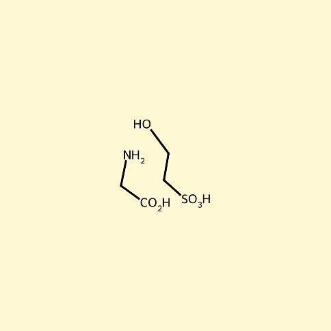 NCC(=O)O.O=S(=O)(O)CCO